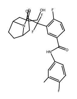 Cc1cc(NC(=O)c2ccc(F)c(C(F)(F)C(=O)N3C4CCC3CC(O)(CO)C4)c2)ccc1F